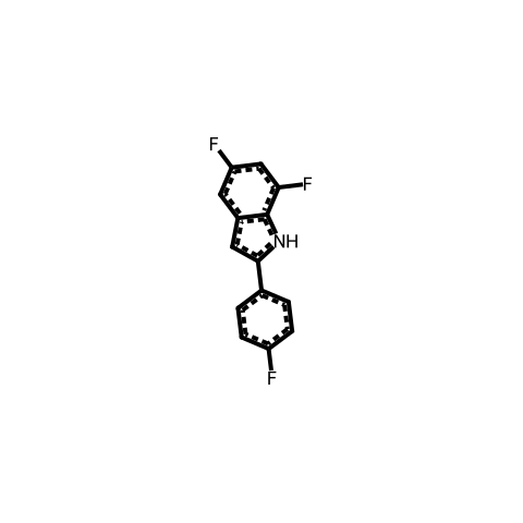 Fc1ccc(-c2cc3cc(F)cc(F)c3[nH]2)cc1